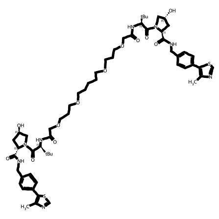 Cc1ncsc1-c1ccc(CNC(=O)[C@@H]2C[C@@H](O)CN2C(=O)[C@@H](NC(=O)COCCCOCCCCCOCCCOCC(=O)N[C@H](C(=O)N2C[C@H](O)C[C@H]2C(=O)NCc2ccc(-c3scnc3C)cc2)C(C)(C)C)C(C)(C)C)cc1